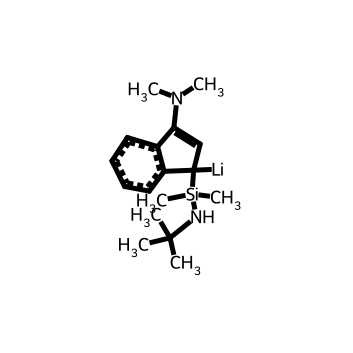 [Li][C]1([Si](C)(C)NC(C)(C)C)C=C(N(C)C)c2ccccc21